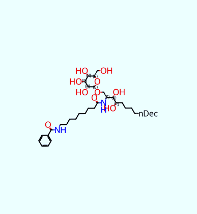 CCCCCCCCCCCCCC[C@@H](O)[C@@H](O)[C@H](CO[C@H]1O[C@H](CO)[C@H](O)[C@H](O)[C@H]1O)NC(=O)CCCCCCCCNC(=O)c1ccccc1